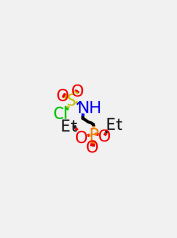 CCOP(=O)(CCNS(=O)(=O)Cl)OCC